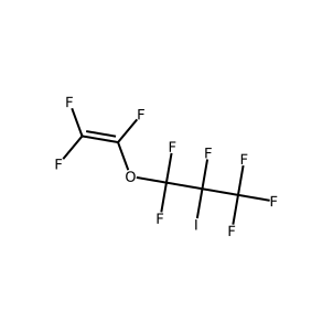 FC(F)=C(F)OC(F)(F)C(F)(I)C(F)(F)F